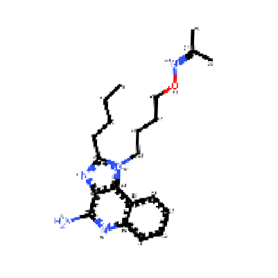 CCCCc1nc2c(N)nc3ccccc3c2n1CCCCON=C(C)C